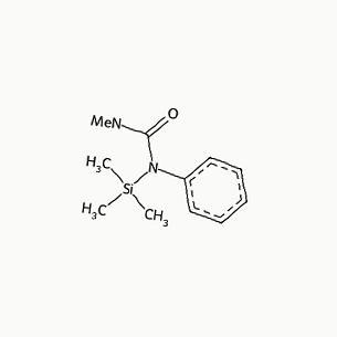 CNC(=O)N(c1ccccc1)[Si](C)(C)C